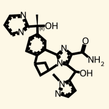 Cn1nccc1C(O)c1c(C(N)=O)nc2n1C1CC(C1)c1ccc([C@@](C)(O)c3ncccn3)cc1-2